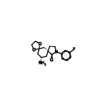 N[C@@H]1CC2(C[C@@]3(CCN(c4cccc(F)c4)C3=O)C1)OCCO2